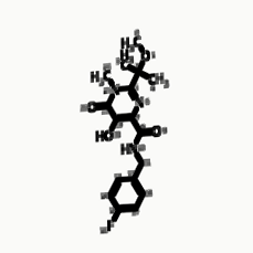 COC(C)(C)c1nc(C(=O)NCc2ccc(F)cc2)c(O)c(=O)n1C